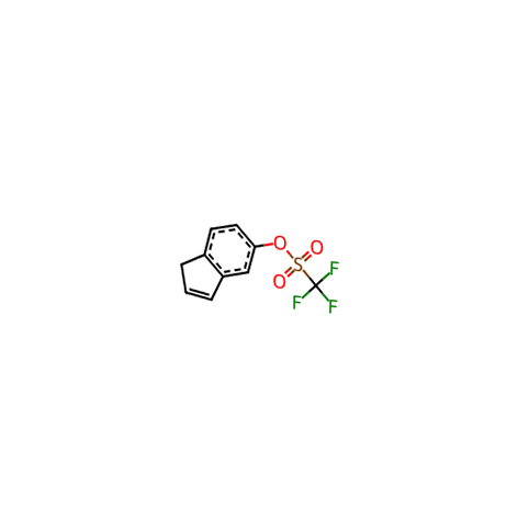 O=S(=O)(Oc1ccc2c(c1)C=CC2)C(F)(F)F